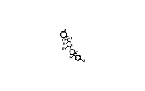 CC1CCCCC(C)(C(Cl)(Cl)C(=O)N[C@@H](C(=O)N2CC[C@](O)(c3ccc(Cl)cc3)C(C)(C)C2)C(C)C)C1